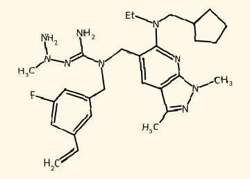 C=Cc1cc(F)cc(CN(Cc2cc3c(C)nn(C)c3nc2N(CC)CC2CCCC2)/C(N)=N/N(C)N)c1